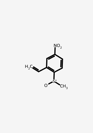 C=Cc1cc([N+](=O)[O-])ccc1[S+](C)[O-]